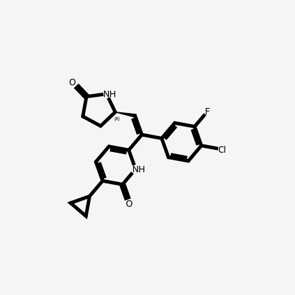 O=C1CC[C@H](C=C(c2ccc(Cl)c(F)c2)c2ccc(C3CC3)c(=O)[nH]2)N1